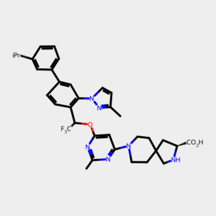 Cc1ccn(-c2cc(-c3cccc(C(C)C)c3)ccc2C(Oc2cc(N3CCC4(CC3)CN[C@H](C(=O)O)C4)nc(C)n2)C(F)(F)F)n1